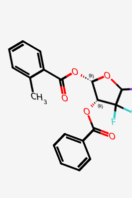 Cc1ccccc1C(=O)O[C@@H]1OC(I)C(F)(F)[C@@H]1OC(=O)c1ccccc1